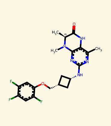 Cc1nc(N[C@H]2C[C@@H](COc3cc(F)c(F)cc3F)C2)nc2c1NC(=O)[C@H](C)N2C